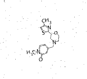 Cc1csc(C2CN(Cc3ccn(C)c(=O)c3)CCO2)n1